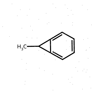 CC1c2ccccc21